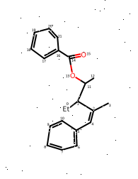 CCC(C(C)=Cc1ccccc1)C(C)OC(=O)c1ccccc1